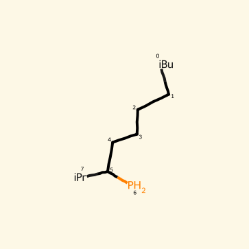 CCC(C)CCCCC(P)C(C)C